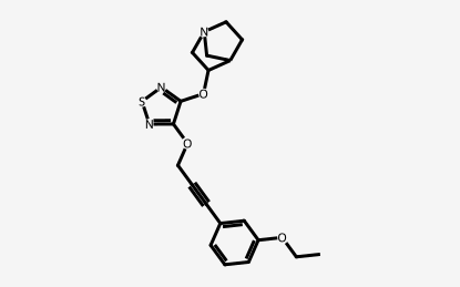 CCOc1cccc(C#CCOc2nsnc2OC2CN3CCC2C3)c1